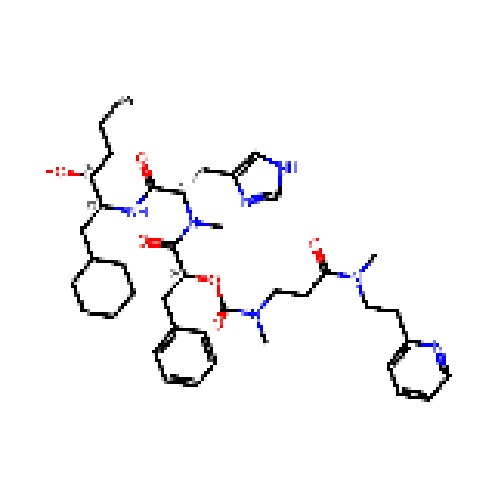 CC(C)CC[C@H](O)[C@H](CC1CCCCC1)NC(=O)[C@H](Cc1c[nH]cn1)N(C)C(=O)[C@H](Cc1ccccc1)OC(=O)N(C)CCC(=O)N(C)CCc1ccccn1